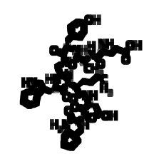 CCCC[C@H](NC(=O)[C@H](Cc1c[nH]c2ccccc12)NC(=O)CNC(=O)[C@H](Cc1ccc(O)cc1)NC(=O)[C@H](C)NC(=O)[C@H](N)CCC(=O)O)C(=O)N[C@@H](CC(=O)O)C(=O)N[C@@H](Cc1ccccc1)C(N)=O